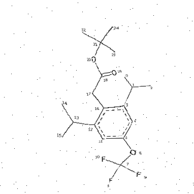 CC(C)c1cc(OC(F)(F)F)cc(C(C)C)c1CC(=O)OC(C)(C)C